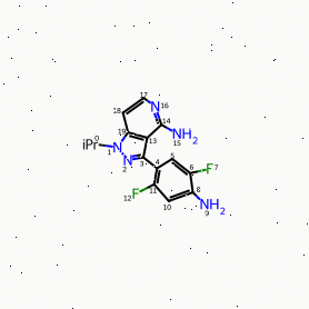 CC(C)n1nc(-c2cc(F)c(N)cc2F)c2c(N)nccc21